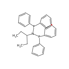 CCC(CC)N(P(c1ccccc1)c1ccccc1)P(c1ccccc1)c1ccccc1